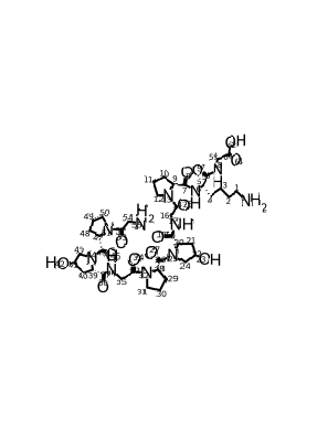 NCCCC[C@H](NC(=O)[C@@H]1CCCN1C(=O)CNC(=O)[C@@H]1C[C@@H](O)CN1C(=O)[C@@H]1CCCN1C(=O)CNC(=O)[C@@H]1C[C@@H](O)CN1C(=O)[C@@H]1CCCN1C(=O)CN)C(=O)NCC(=O)O